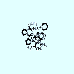 COC(=O)[C@@H]1CCCN1C(=O)[C@H]1CCCN1C[C@H](C(C)C)N(C)C(=O)[C@@H](NC(=O)[C@H]1CCCCN1C)C(C)(C)C